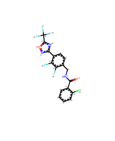 O=C(NCc1ccc(-c2noc(C(F)(F)F)n2)c(F)c1F)c1ccccc1Cl